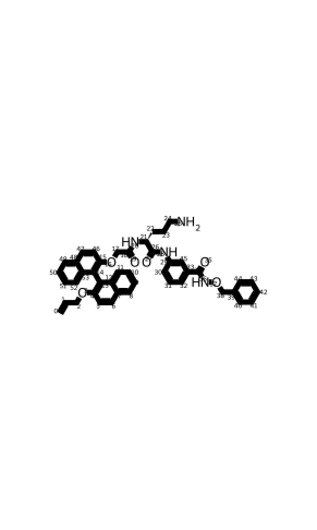 C=CCOc1ccc2ccccc2c1-c1c(OCC(=O)N[C@H](CCCN)C(=O)Nc2cccc(C(=O)NOCc3ccccc3)c2)ccc2ccccc12